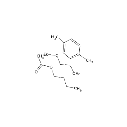 CCCCOC(C)=O.CCOCCOC(C)=O.Cc1ccc(C)cc1